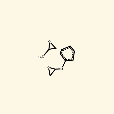 CC1CO1.c1ccc(OC2CO2)cc1